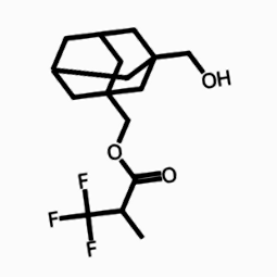 CC(C(=O)OCC12CC3CC(CC(CO)(C3)C1)C2)C(F)(F)F